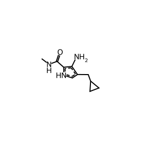 CNC(=O)c1[nH]cc(CC2CC2)c1N